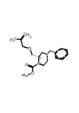 C=C(C)COC[C@@H]1CN(Cc2ccccc2)CCN1C(=O)OC(C)(C)C